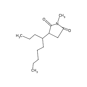 CCCCCC(CCC)C1CC(=O)N(C)C1=O